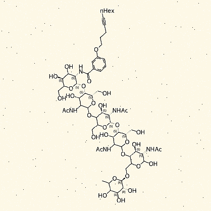 CCCCCCC#CCCCOc1cccc(C(=O)N[C@H]2C(O)[C@H](O)C(CO)O[C@H]2O[C@H]2C(O)C(NC(C)=O)C(OC3C(CO)O[C@@H](O[C@H]4C(O)C(NC(C)=O)C(OC5C(CO[C@@H]6OC(C)C(O)[C@H](O)[C@H]6O)OC(O)[C@@H](NC(C)=O)[C@@H]5O)O[C@H]4CO)[C@@H](NC(C)=O)[C@@H]3O)O[C@H]2CO)c1